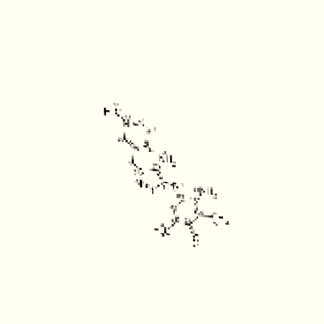 CC1=C/C(=N\c2cnn(Cc3ccc[n+](C)c3)c2N)C(N)=C(C)C1=O